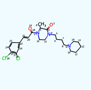 CC1C(=O)N(CCCCN2CCCCC2)CCN1C(=O)/C=C/c1ccc(Cl)c(Cl)c1